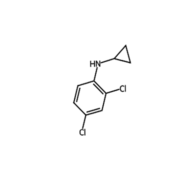 Clc1ccc(NC2CC2)c(Cl)c1